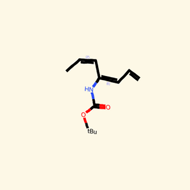 C=C/C=C(\C=C/C)NC(=O)OC(C)(C)C